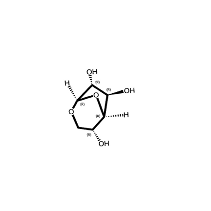 O[C@@H]1[C@@H](O)[C@@H]2OC[C@@H](O)[C@H]1O2